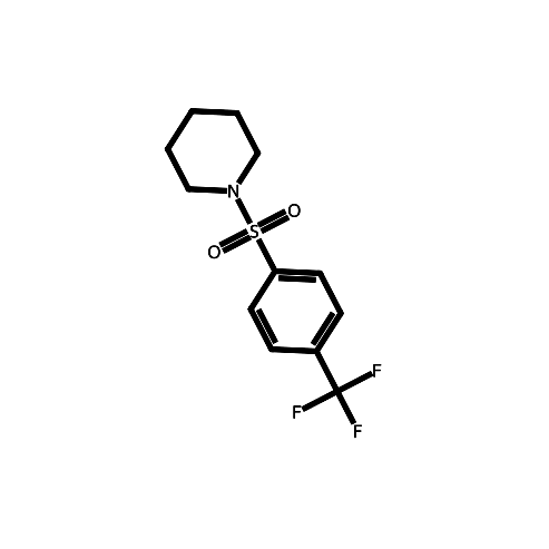 O=S(=O)(c1ccc(C(F)(F)F)cc1)N1CCCCC1